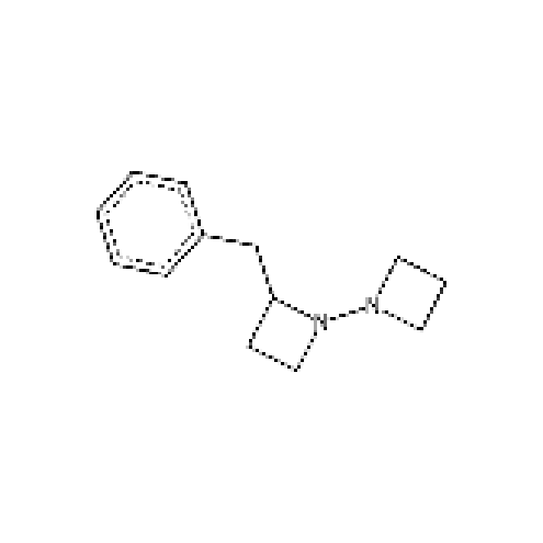 c1ccc(CC2CCN2N2CCC2)cc1